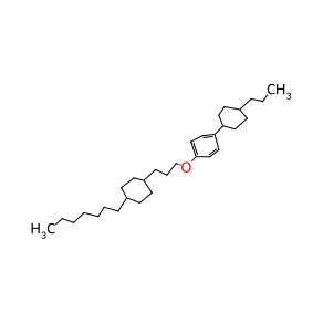 CCCCCCCC1CCC(CCCOc2ccc(C3CCC(CCC)CC3)cc2)CC1